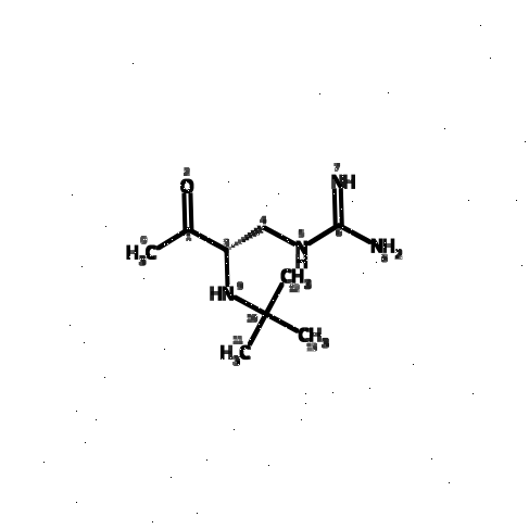 CC(=O)[C@H](CNC(=N)N)NC(C)(C)C